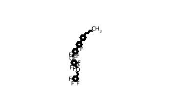 CCCCCc1ccc(-c2ccc(-c3ccc(C(F)(F)Oc4cc(F)c(C(F)(F)OCCc5cc(F)c(F)c(F)c5)c(F)c4)c(F)c3)c(F)c2)cc1